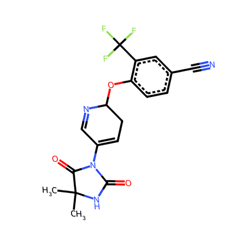 CC1(C)NC(=O)N(C2=CCC(Oc3ccc(C#N)cc3C(F)(F)F)N=C2)C1=O